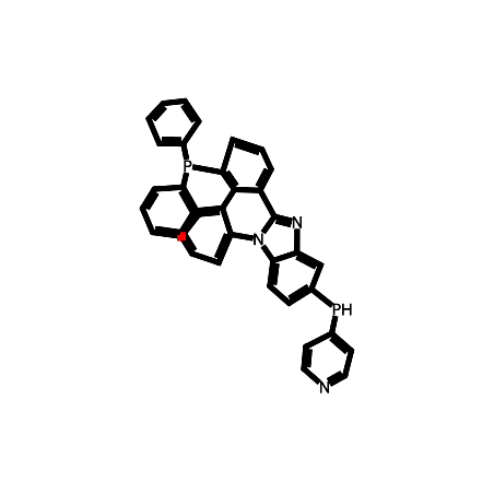 c1ccc(P(c2ccccc2)c2cccc3c2c2ccccc2n2c4ccc(Pc5ccncc5)cc4nc32)cc1